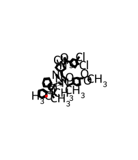 COC(=O)c1ccc(C(C)N2C[C@@H](CO[Si](c3ccccc3)(c3ccccc3)C(C)(C)C)n3nc4c(c3C2=O)CN(C(=O)c2ccc(Cl)c(Cl)c2)[C@H](C)C4)cc1